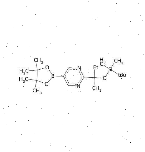 CCC(C)(O[Si](C)(C)C(C)(C)C)c1ncc(B2OC(C)(C)C(C)(C)O2)cn1